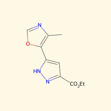 CCOC(=O)c1cc(-c2ocnc2C)[nH]n1